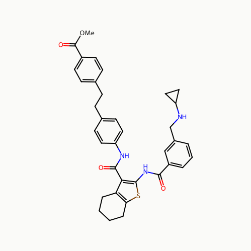 COC(=O)c1ccc(CCc2ccc(NC(=O)c3c(NC(=O)c4cccc(CNC5CC5)c4)sc4c3CCCC4)cc2)cc1